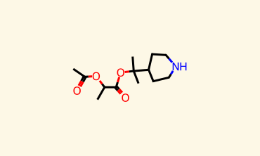 CC(=O)OC(C)C(=O)OC(C)(C)C1CCNCC1